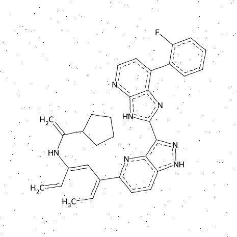 C=C/C(=C\C(=C/C)c1ccc2[nH]nc(-c3nc4c(-c5ccccc5F)ccnc4[nH]3)c2n1)NC(=C)C1CCCC1